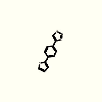 C1=C(c2ccc(-c3cccs3)cc2)N=N[N]1